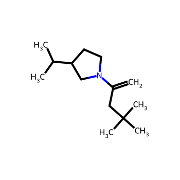 C=C(CC(C)(C)C)N1CCC(C(C)C)C1